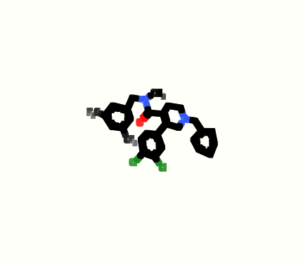 CN(Cc1cc(C(F)(F)F)cc(C(F)(F)F)c1)C(=O)C1=C(c2ccc(Cl)c(Cl)c2)CN(Cc2ccccc2)CC1